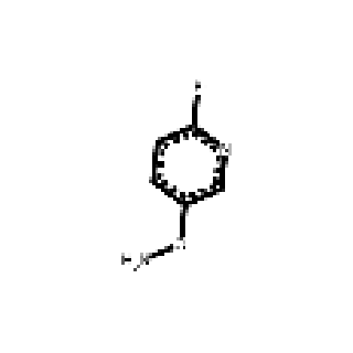 NOc1ccc(Br)nc1